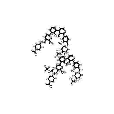 COc1cc(-c2nccc(-c3cccc(-c4ccc(CN(C(=O)OC(C)(C)C)C5CCN(C(C)=O)CC5)c(OC)n4)c3Cl)c2Cl)ccc1CN1CCC(NC(C)=O)CC1.COc1cc(-c2nccc(-c3cccc(-c4ccc(CNC5CCN(C(C)=O)CC5)c(OC)n4)c3Cl)c2Cl)ccc1CN1CCC(NC(C)=O)CC1